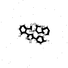 O=C(N[C@@H]1Cc2ncccc2NC1=O)c1cccc(F)c1-c1cc(-c2ccc(F)cc2)[nH]n1